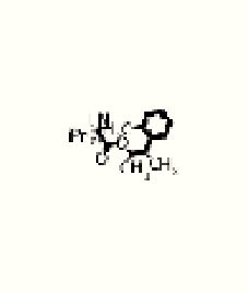 Cc1ccccc1[C@H](C)[C@@H](C)OC(=O)[C@@H](N)C(C)C